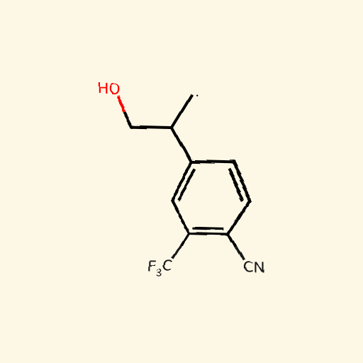 [CH2]C(CO)c1ccc(C#N)c(C(F)(F)F)c1